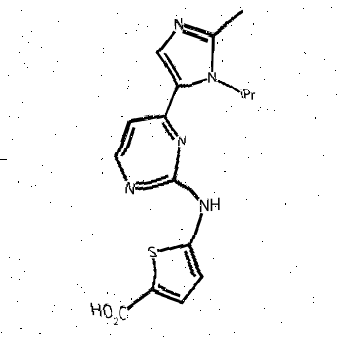 Cc1ncc(-c2ccnc(Nc3ccc(C(=O)O)s3)n2)n1C(C)C